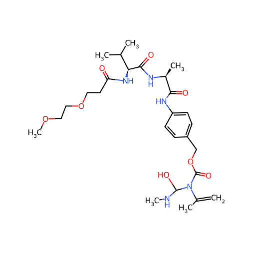 C=C(C)N(C(=O)OCc1ccc(NC(=O)[C@H](C)NC(=O)[C@@H](NC(=O)CCOCCOC)C(C)C)cc1)C(O)NC